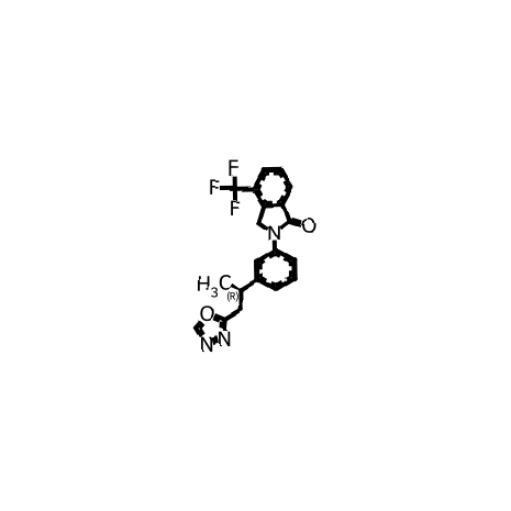 C[C@H](Cc1nnco1)c1cccc(N2Cc3c(cccc3C(F)(F)F)C2=O)c1